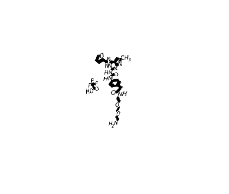 Cn1cc2c(nc(NC(=O)Nc3ccc(CC(=O)NCCOCCOCCN)cc3)n3nc(-c4ccco4)nc23)n1.O=C(O)C(F)(F)F